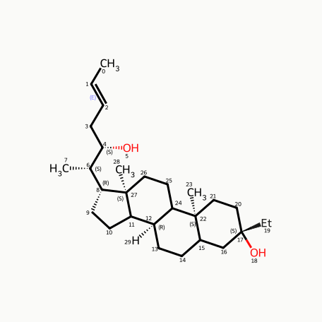 C/C=C/C[C@H](O)[C@@H](C)[C@H]1CCC2[C@@H]3CCC4C[C@](O)(CC)CC[C@]4(C)C3CC[C@@]21C